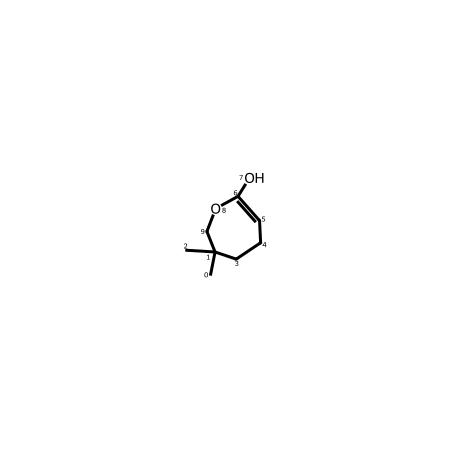 CC1(C)CCC=C(O)OC1